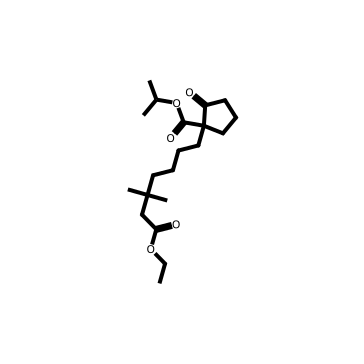 CCOC(=O)CC(C)(C)CCCCC1(C(=O)OC(C)C)CCCC1=O